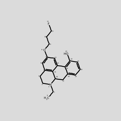 CCN1CCc2cc(OCCCF)cc3c2C1Cc1cccc(O)c1-3